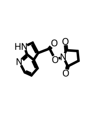 O=C(ON1C(=O)CCC1=O)c1c[nH]c2ncccc12